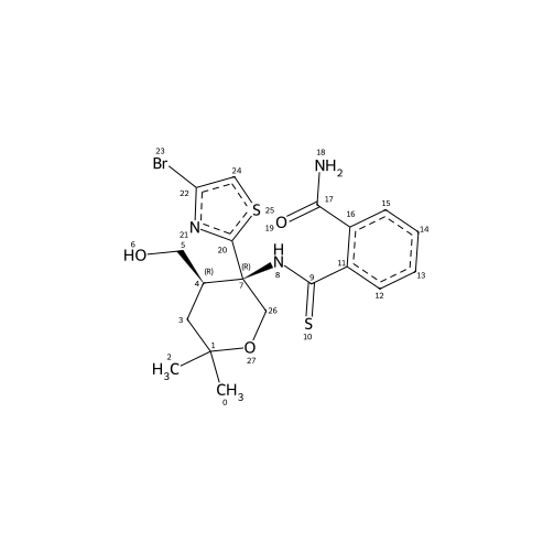 CC1(C)C[C@@H](CO)[C@](NC(=S)c2ccccc2C(N)=O)(c2nc(Br)cs2)CO1